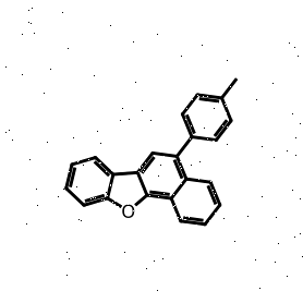 Cc1ccc(-c2cc3c4ccccc4oc3c3ccccc23)cc1